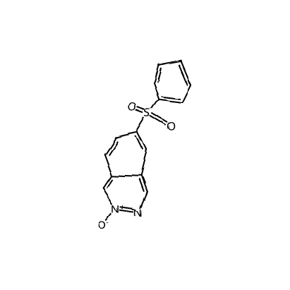 O=S(=O)(c1ccccc1)c1ccc2c[n+]([O-])ncc2c1